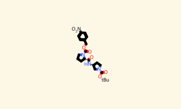 CC(C)(C)OC(=O)N1CC[C@H](NC(=O)[C@@H]2CCCN2C(=O)OCc2ccc([N+](=O)[O-])cc2)C1